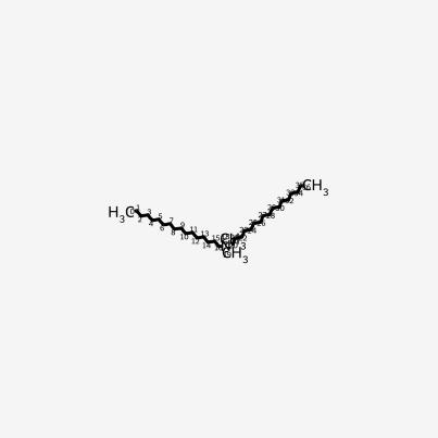 CCCCCCCCCCCCCCCCC[N+](C)(C)CCCCCCCCCCCCCCCCC